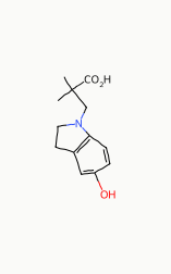 CC(C)(CN1CCc2cc(O)ccc21)C(=O)O